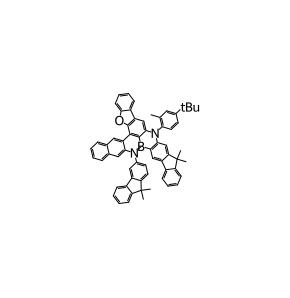 Cc1cc(C(C)(C)C)ccc1N1c2cc3c(cc2B2c4c1cc1c(oc5ccccc51)c4-c1cc4ccccc4cc1N2c1ccc2c(c1)-c1ccccc1C2(C)C)-c1ccccc1C3(C)C